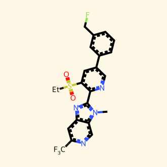 CCS(=O)(=O)c1cc(-c2cccc(CF)c2)cnc1-c1nc2cc(C(F)(F)F)ncc2n1C